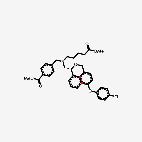 COC(=O)CCCCN(Cc1ccc(C(=O)OC)cc1)C[C@H](OCc1ccc(Oc2ccc(Cl)cc2)cc1)c1ccccc1